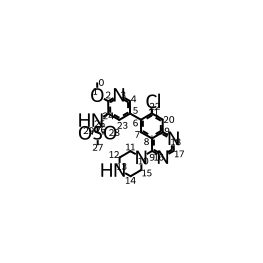 COc1ncc(-c2cc3c(N4CCNCC4)ncnc3cc2Cl)cc1NS(C)(=O)=O